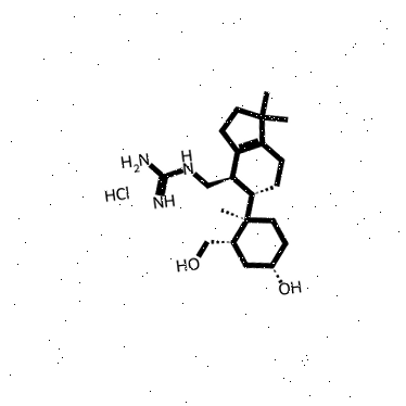 CC1(C)CCC2=C1CC[C@H]([C@@]1(C)CC[C@H](O)C[C@@H]1CO)[C@H]2CNC(=N)N.Cl